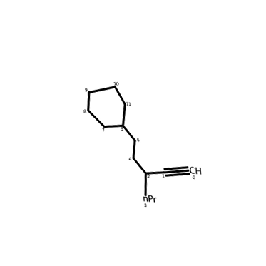 C#CC(CCC)CCC1CCCCC1